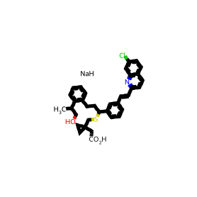 CC(CO)c1ccccc1CCC(SCC1(CC(=O)O)CC1)c1cccc(C=Cc2ccc3ccc(Cl)cc3n2)c1.[NaH]